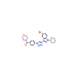 O=C(c1ccc(-n2cc(-c3nn(C4CCCCO4)c4ccc(Br)cc34)nn2)cc1)N1CCOCC1